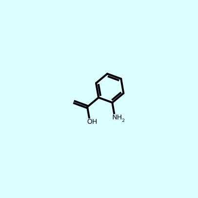 C=C(O)c1ccccc1N